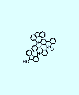 O=c1c2ccccc2c2ccc3c4c2n1c1cccc2c1-n4c1c(cccc1n3-c1cccc3c1-c1ccccc1C3)n2-c1cccc2c1-c1ccccc1C2O